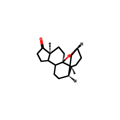 C[C@]12CC[C@@H]3C[C@H]1CCC1C4CCC(=O)[C@@]4(C)CC[C@@]12OO3